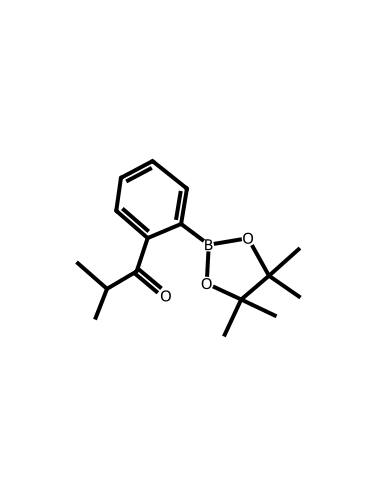 CC(C)C(=O)c1ccccc1B1OC(C)(C)C(C)(C)O1